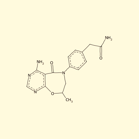 CC1CN(c2ccc(CC(N)=O)cc2)C(=O)c2c(N)ncnc2O1